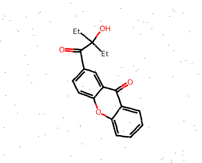 CCC(O)(CC)C(=O)c1ccc2oc3ccccc3c(=O)c2c1